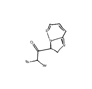 O=C(C(Br)Br)C1CN=C2C=CC=NN21